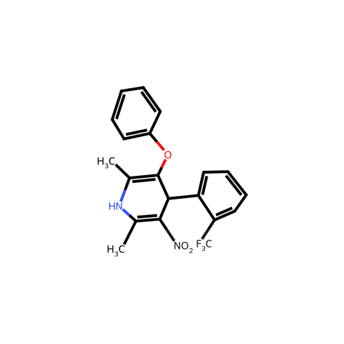 CC1=C(Oc2ccccc2)C(c2ccccc2C(F)(F)F)C([N+](=O)[O-])=C(C)N1